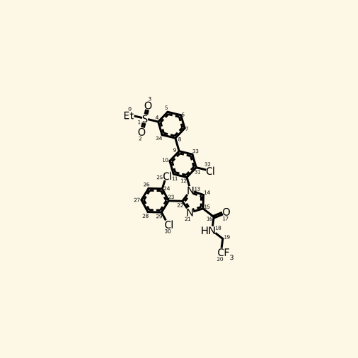 CCS(=O)(=O)c1cccc(-c2ccc(-n3cc(C(=O)NCC(F)(F)F)nc3-c3c(Cl)cccc3Cl)c(Cl)c2)c1